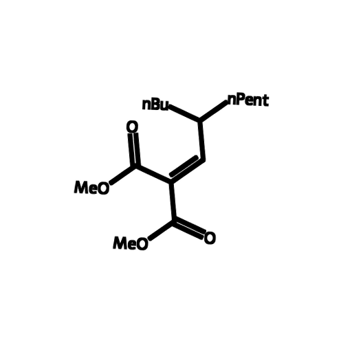 CCCCCC(C=C(C(=O)OC)C(=O)OC)CCCC